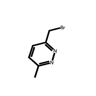 Cc1ccc(CBr)nn1